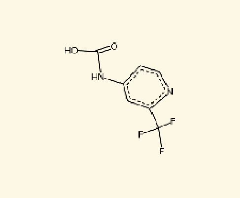 O=C(O)Nc1ccnc(C(F)(F)F)c1